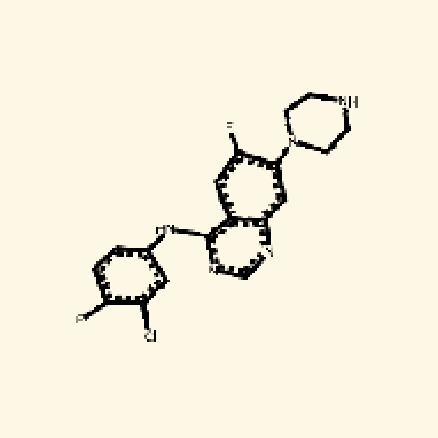 Fc1ccc(Nc2ncnc3cc(N4CCNCC4)c(F)cc23)cc1Cl